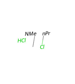 CCCCl.CNC.Cl